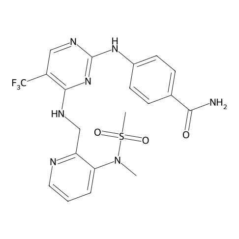 CN(c1cccnc1CNc1nc(Nc2ccc(C(N)=O)cc2)ncc1C(F)(F)F)S(C)(=O)=O